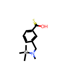 CN(Cc1cccc(C(O)=S)c1)[Si](C)(C)C